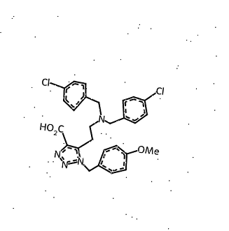 COc1ccc(Cn2nnc(C(=O)O)c2CCN(Cc2ccc(Cl)cc2)Cc2ccc(Cl)cc2)cc1